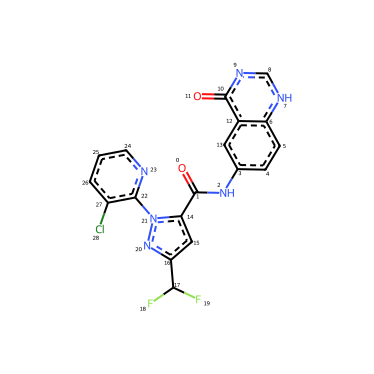 O=C(Nc1ccc2[nH]cnc(=O)c2c1)c1cc(C(F)F)nn1-c1ncccc1Cl